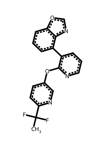 CC(F)(F)c1ccc(Oc2ncccc2-c2cccc3ocnc23)cn1